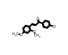 COc1ccc(/C=C/C(=O)c2ccc(Cl)cc2)c(OC)c1